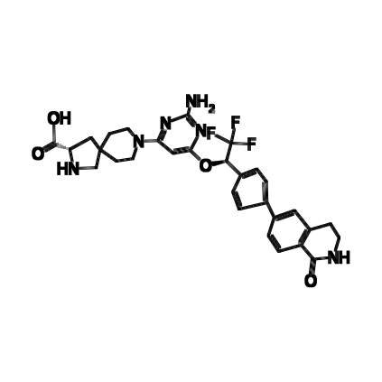 Nc1nc(O[C@H](c2ccc(-c3ccc4c(c3)CCNC4=O)cc2)C(F)(F)F)cc(N2CCC3(CC2)CN[C@H](C(=O)O)C3)n1